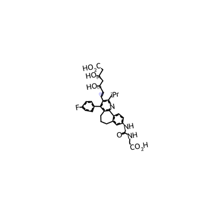 CC(C)c1nc2c(c(-c3ccc(F)cc3)c1/C=C/[C@@H](O)C[C@@H](O)CC(=O)O)CCCc1cc(NC(=O)NCC(=O)O)ccc1-2